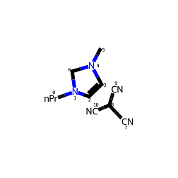 CCCN1C=CN(C)C1.N#CC(C#N)C#N